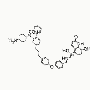 N[C@H]1CC[C@H](N(C(=O)O)c2cc(CCCc3ccc(Oc4ccc(CNC[C@H](O)c5ccc(O)c6[nH]c(=O)ccc56)cc4)cc3)ccc2-c2ccccc2)CC1